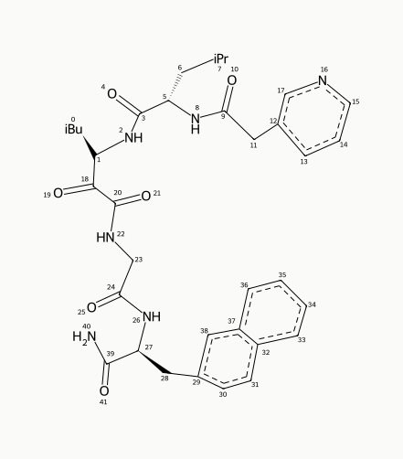 CC[C@H](C)C(NC(=O)[C@H](CC(C)C)NC(=O)Cc1cccnc1)C(=O)C(=O)NCC(=O)N[C@@H](Cc1ccc2ccccc2c1)C(N)=O